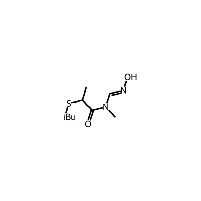 CCC(C)SC(C)C(=O)N(C)C=NO